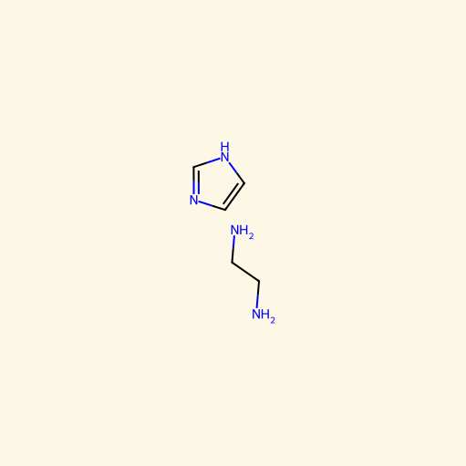 NCCN.c1c[nH]cn1